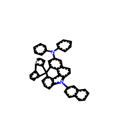 c1ccc(N(c2ccccc2)c2cc3c4c(ccc5c4c4c(cccc4n5-c4ccc5ccccc5c4)C34c3ccccc3-c3ccccc34)c2)cc1